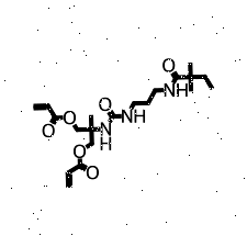 C=CC(=O)OCC(C)(COC(=O)C=C)NC(=O)NCCCNC(=O)C(C)(C)CC